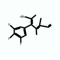 C=C/C(C)=C(C)/C(=C(\C)CCCC)c1cc(F)c(F)c(F)c1